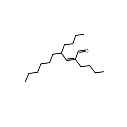 CCCCCCC(C=C(C=O)CCCC)CCCC